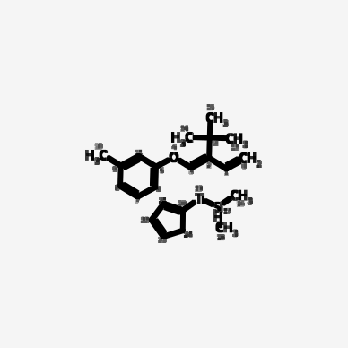 C=CC(=COc1cccc(C)c1)C(C)(C)C.C[SiH](C)[Ti][C]1=CC=CC1